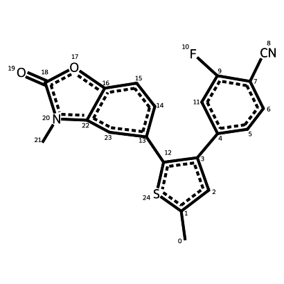 Cc1cc(-c2ccc(C#N)c(F)c2)c(-c2ccc3oc(=O)n(C)c3c2)s1